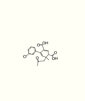 CC(=O)CC1(C)C=C(c2cccc(Cl)c2)C(C(=O)O)=CC1C(=O)O